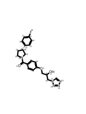 O=C(c1ccc(OCC(O)Cn2cnnn2)cc1)N1CC[C@H](c2ccc(F)cc2)C1